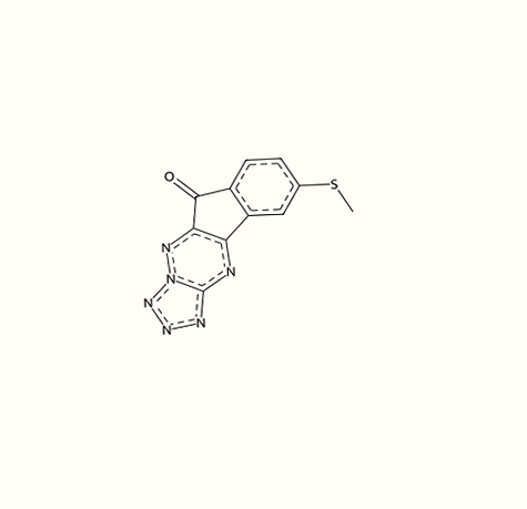 CSc1ccc2c(c1)-c1nc3nnnn3nc1C2=O